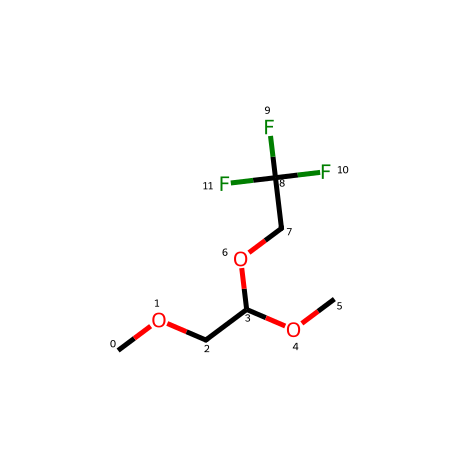 COCC(OC)OCC(F)(F)F